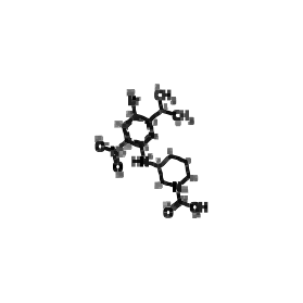 CC(C)c1cc(NC2CCCN(C(=O)O)C2)c([N+](=O)[O-])cc1Br